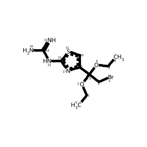 CCOC(CBr)(OCC)c1csc(NC(=N)N)n1